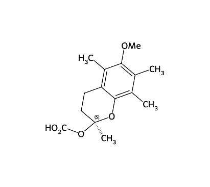 COc1c(C)c(C)c2c(c1C)CC[C@](C)(OC(=O)O)O2